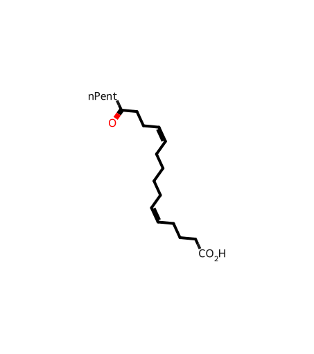 CCCCCC(=O)CC/C=C\CCCC/C=C\CCCC(=O)O